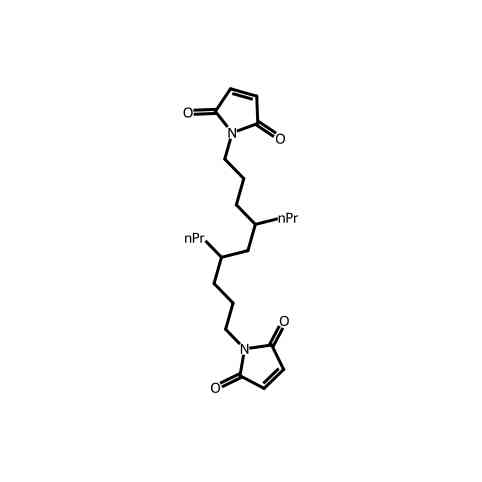 CCCC(CCCN1C(=O)C=CC1=O)CC(CCC)CCCN1C(=O)C=CC1=O